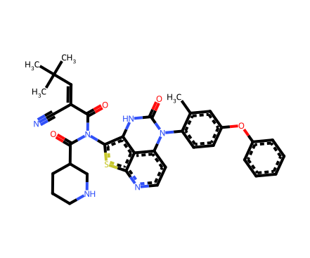 Cc1cc(Oc2ccccc2)ccc1N1C(=O)Nc2c(N(C(=O)/C(C#N)=C/C(C)(C)C)C(=O)C3CCCNC3)sc3nccc1c23